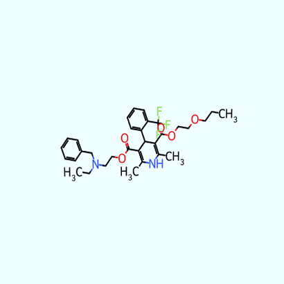 CCCOCCOC(=O)C1=C(C)NC(C)=C(C(=O)OCCN(CC)Cc2ccccc2)C1c1ccccc1C(F)(F)F